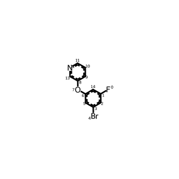 Fc1cc(Br)cc(Oc2cccnc2)c1